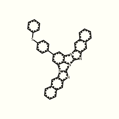 c1ccc(Sc2ccc(-c3cc4c5c(c3)n3c6cc7ccccc7cc6nc3n5c3nc5cc6ccccc6cc5n43)cc2)cc1